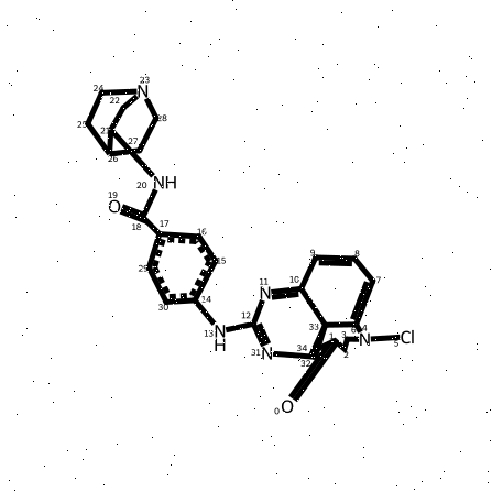 O=C1CCN(Cl)C2=CC=CC3=NC(Nc4ccc(C(=O)NC5CN6CCC5CC6)cc4)=NCC23C1